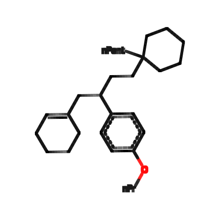 CCCCCC1(CCC(CC2=CCCCC2)c2ccc(OCCC)cc2)CCCCC1